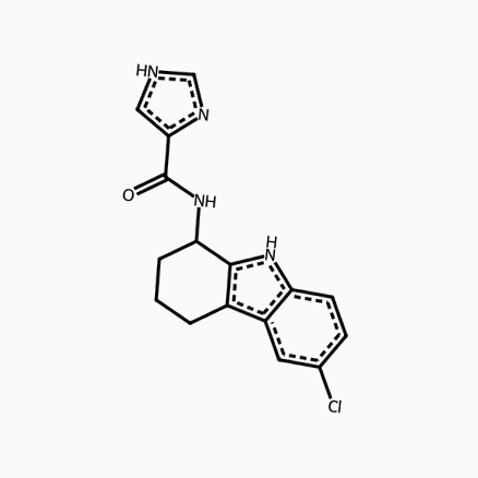 O=C(NC1CCCc2c1[nH]c1ccc(Cl)cc21)c1c[nH]cn1